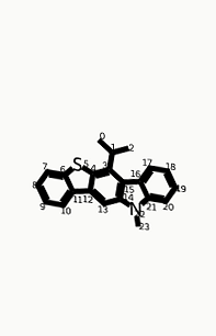 CC(C)c1c2sc3ccccc3c2cc2c1c1ccccc1n2C